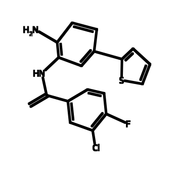 C=C(Nc1cc(-c2cccs2)ccc1N)c1ccc(F)c(Cl)c1